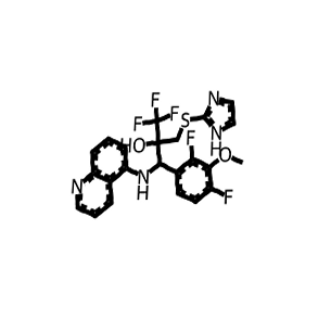 COc1c(F)ccc(C(Nc2cccc3ncccc23)C(O)(CSc2ncc[nH]2)C(F)(F)F)c1F